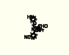 CC(C)OC=O.N#Cc1cc(-c2nc(COC3CCNCC3)no2)ccn1